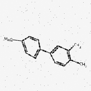 COc1ccc(-c2ccc(C)c(C)c2)cc1